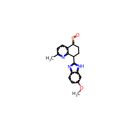 COc1ccc2nc(C3CCC(=S=O)c4ccc(C)nc43)[nH]c2c1